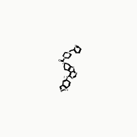 O=C([C@H]1CCc2c(sc3ncnc(Nc4ccc5[nH]ncc5c4)c23)C1)N1CCN(Cc2ccccn2)CC1